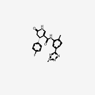 Cc1ccc(-c2nnn(C)n2)cc1NC(=O)C1=CNC(=O)C[C@H]1c1ccc(F)cc1